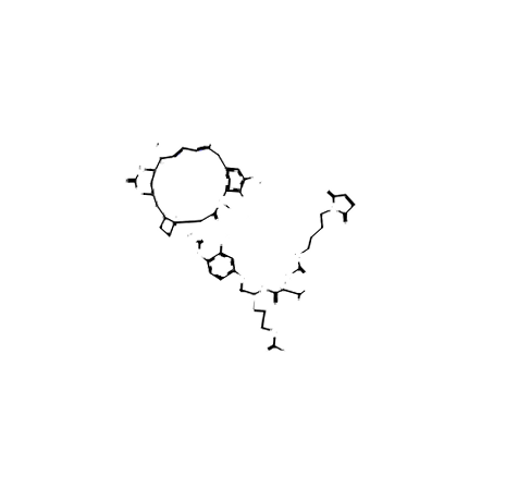 COc1cc(NC(=O)[C@H](CCCNC(N)=O)NC(=O)[C@@H](NC(=S)NCCCCN2C(=O)C=CC2=O)C(C)C)ccc1NC(=O)O[C@H]1CC(=O)N(C)c2cc(cc(OC)c2Cl)C/C(C)=C/C=C/[C@@H](OC)[C@@]2(O)C[C@H](OC(=O)N2)[C@@H](C)[C@@H]2CC[C@@]12C